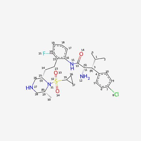 CC(C)[C@H](c1ccc(Cl)cc1)[C@H](N)C(=O)Nc1cccc(F)c1CC[C@H]1CNC[C@@H](C)N1S(=O)(=O)C1CC1